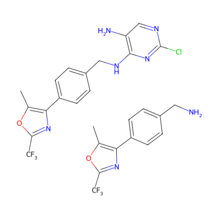 Cc1oc(C(F)(F)F)nc1-c1ccc(CN)cc1.Cc1oc(C(F)(F)F)nc1-c1ccc(CNc2nc(Cl)ncc2N)cc1